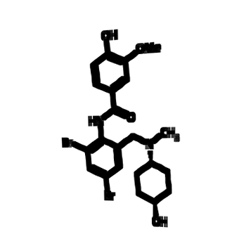 COc1cc(C(=O)Nc2c(Br)cc(Br)cc2CN(C)[C@H]2CC[C@H](O)CC2)ccc1O